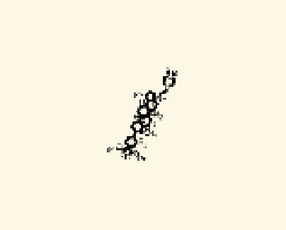 CC(C)OC(=O)C1(C(=O)OC(C)C)CCC(C2=CC[C@]3(C)[C@H]4CC[C@@H]5[C@H]6[C@H](C(C)C)CC[C@]6(NCCN6CCS(=O)(=O)CC6)CC[C@@]5(C)[C@]4(C)CC[C@H]3C2(C)C)CC1